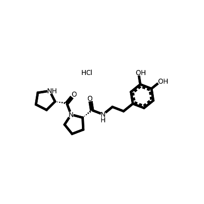 Cl.O=C(NCCc1ccc(O)c(O)c1)[C@@H]1CCCN1C(=O)[C@@H]1CCCN1